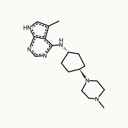 Cc1c[nH]c2ncnc(N[C@H]3CC[C@H](N4CCN(C)CC4)CC3)c12